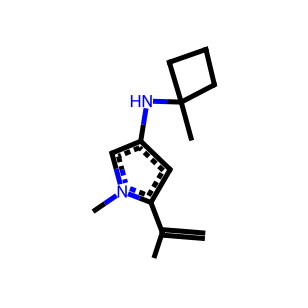 C=C(C)c1cc(NC2(C)CCC2)cn1C